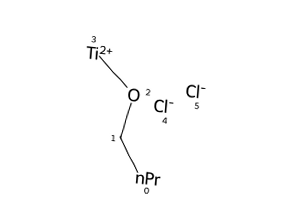 CCCC[O][Ti+2].[Cl-].[Cl-]